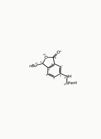 CCCCCNc1ccc2c(c1)C(=O)OC2CCCC